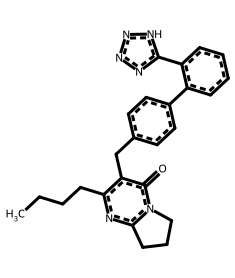 CCCCc1nc2n(c(=O)c1Cc1ccc(-c3ccccc3-c3nnn[nH]3)cc1)CCC2